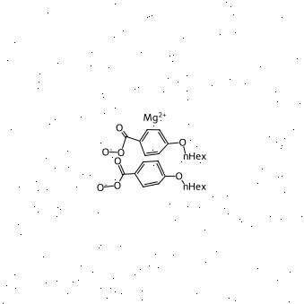 CCCCCCOc1ccc(C(=O)O[O-])cc1.CCCCCCOc1ccc(C(=O)O[O-])cc1.[Mg+2]